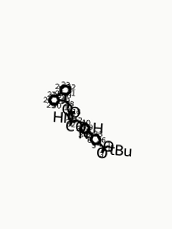 CC(C)(C)OC(=O)c1ccc(-c2ccc(CC(NC(=O)OCC3c4ccccc4-c4ccccc43)C(=O)O)cn2)cc1